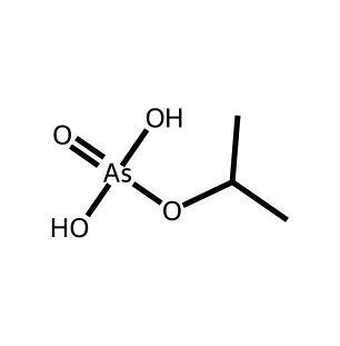 CC(C)O[As](=O)(O)O